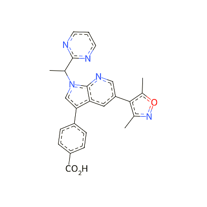 Cc1noc(C)c1-c1cnc2c(c1)c(-c1ccc(C(=O)O)cc1)cn2C(C)c1ncccn1